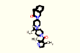 Cc1ccnc(C)c1C(=O)N1CCC(C(C)C)(N2CCC(N(Cc3ccccc3)C(=O)C3CC3)CC2)CC1